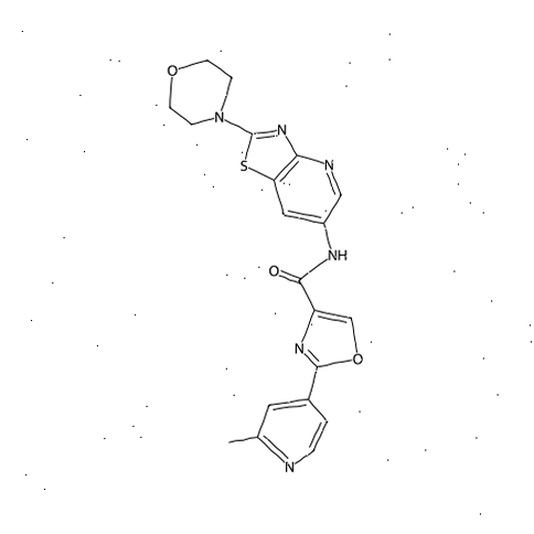 Cc1cc(-c2nc(C(=O)Nc3cnc4nc(N5CCOCC5)sc4c3)co2)ccn1